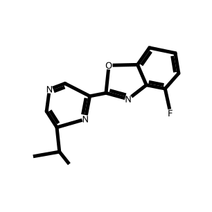 CC(C)c1cncc(-c2nc3c(F)cccc3o2)n1